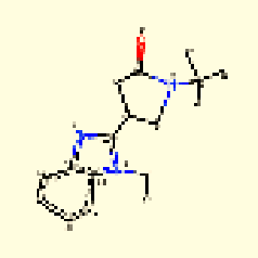 CCn1c(C2CC(=O)N(C(C)(C)C)C2)nc2ccccc21